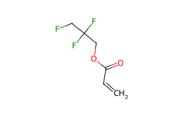 C=CC(=O)OCC(F)(F)CF